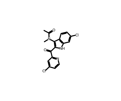 CC(=O)N(C)c1c(C(=O)c2cc(Cl)ccn2)[nH]c2cc(Cl)ccc12